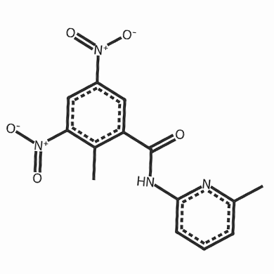 Cc1cccc(NC(=O)c2cc([N+](=O)[O-])cc([N+](=O)[O-])c2C)n1